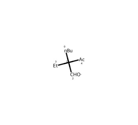 CCCCC([C]=O)(CC)C(C)=O